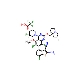 COc1c(F)c(-c2ccc(F)c3sc(N)c(C#N)c23)c(F)c2nc(OC[C@@]34CCCN3C[C@H](F)C4)nc(N3CCCC(F)(F)C3)c12.O=C(O)C(F)(F)F